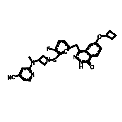 CN(c1cc(C#N)ccn1)C1CN(Sc2cc(Cc3n[nH]c(=O)c4ccc(OC5CCC5)cc34)ccc2F)C1